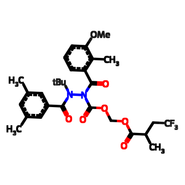 COc1cccc(C(=O)N(C(=O)OCOC(=O)C(C)CC(F)(F)F)N(C(=O)c2cc(C)cc(C)c2)C(C)(C)C)c1C